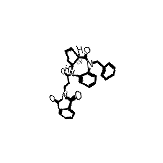 O=C1c2ccccc2C(=O)N1CCC(=O)N1c2ccccc2N(Cc2ccccc2)C(=O)[C@H]2CCC[C@H]21